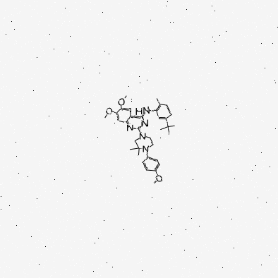 COc1ccc(N2CCN(c3nc(Nc4cc(C(C)(C)C)ccc4C)c4cc(OC)c(OC)cc4n3)CC2(C)C)cc1